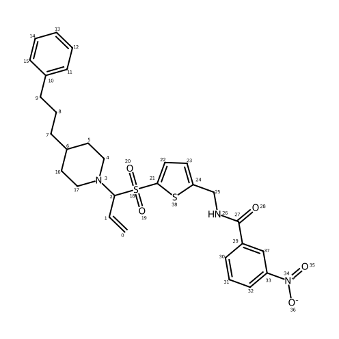 C=CC(N1CCC(CCCc2ccccc2)CC1)S(=O)(=O)c1ccc(CNC(=O)c2cccc([N+](=O)[O-])c2)s1